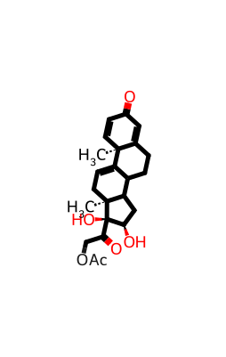 CC(=O)OCC(=O)[C@@]1(O)[C@H](O)CC2C3CCC4=CC(=O)C=C[C@]4(C)C3=CC[C@@]21C